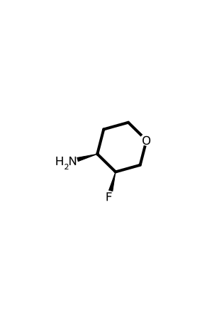 N[C@H]1CCOC[C@H]1F